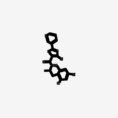 CC(Cc1c(Cl)cc(Cl)cc1Cl)NC(=O)c1sc(-c2cccnc2)nc1Cl